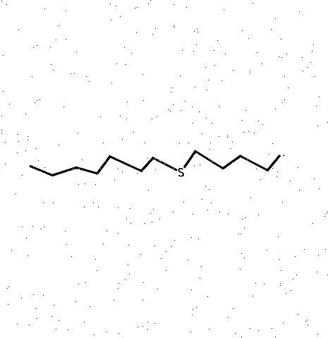 [CH2]CCCCSCCCCCCC